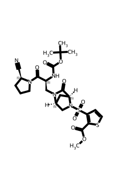 COC(=O)c1sccc1S(=O)(=O)N1C[C@@H]2C[C@H]1C(=O)N2C[C@H](NC(=O)OC(C)(C)C)C(=O)N1CCC[C@H]1C#N